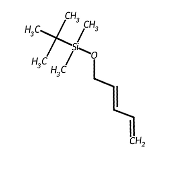 C=C/C=C/CO[Si](C)(C)C(C)(C)C